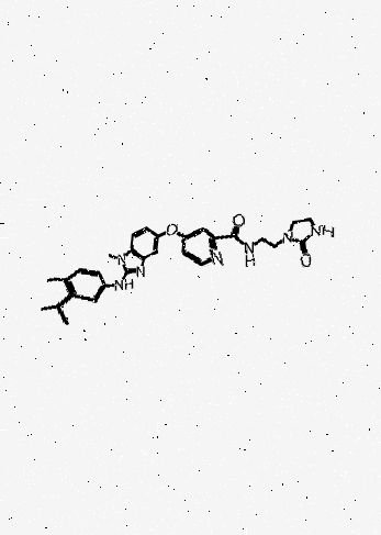 Cc1ccc(Nc2nc3cc(Oc4ccnc(C(=O)NCCN5CCNC5=O)c4)ccc3n2C)cc1C(C)C